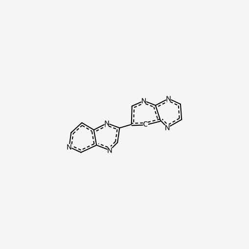 c1cc2nc(-c3cnc4nccnc4c3)cnc2cn1